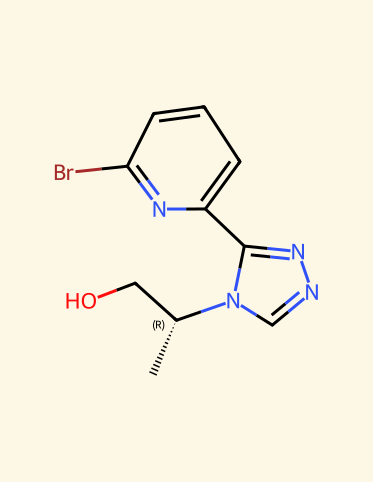 C[C@H](CO)n1cnnc1-c1cccc(Br)n1